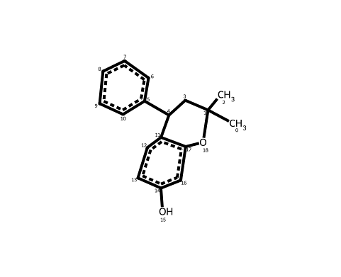 CC1(C)CC(c2ccccc2)c2ccc(O)cc2O1